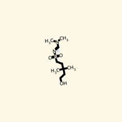 CN(C)/C=N/S(=O)(=O)CCC(C)(C)CCO